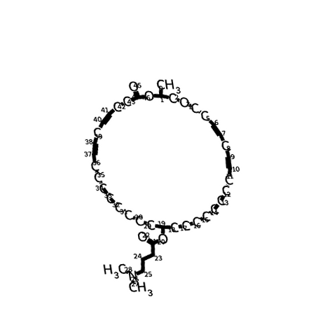 CC1COCC/C=C\C/C=C\CCCCCCCCC(OC(=O)CCCN(C)C)CCCCCCCC/C=C\C/C=C\CCC(=O)O1